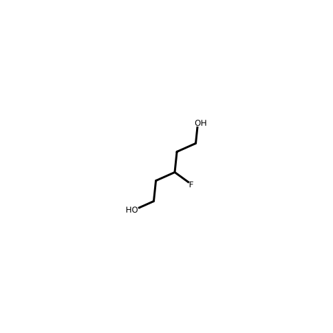 OCCC(F)CCO